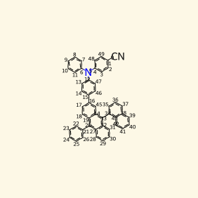 N#Cc1ccc(N(c2ccccc2)c2ccc(-c3ccc4c(-c5ccccc5)c5ccccc5c(-c5cccc6ccccc56)c4c3)cc2)cc1